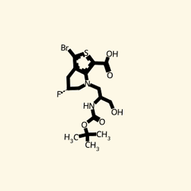 CC(C)(C)OC(=O)NC(CO)CN1C[C@H](F)Cc2c(Br)sc(C(=O)O)c21